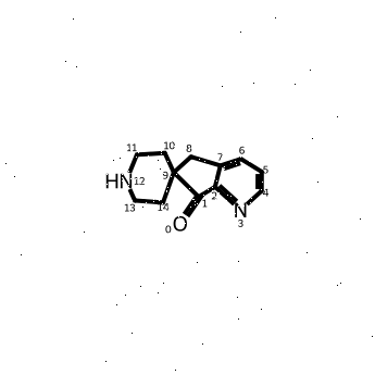 O=C1c2ncccc2CC12CCNCC2